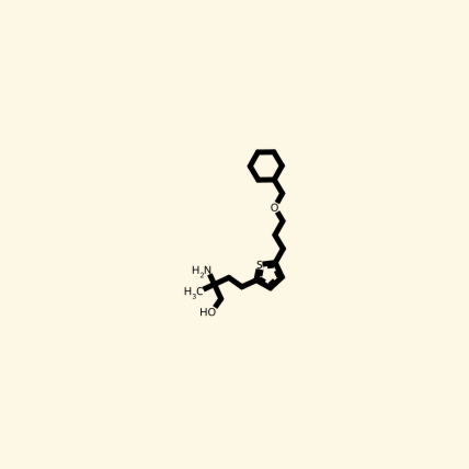 CC(N)(CO)CCc1ccc(CCCOCC2CCCCC2)s1